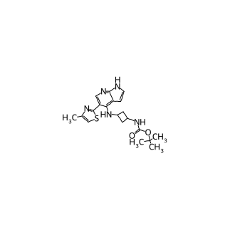 Cc1csc(-c2cnc3[nH]ccc3c2NC2CC(NC(=O)OC(C)(C)C)C2)n1